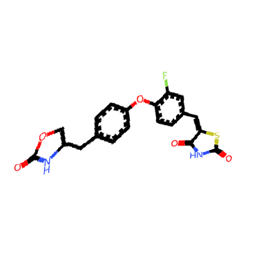 O=C1NC(Cc2ccc(Oc3ccc(C=C4SC(=O)NC4=O)cc3F)cc2)CO1